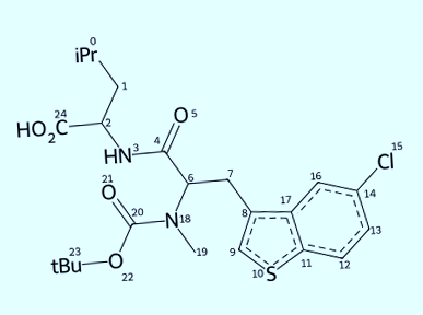 CC(C)CC(NC(=O)C(Cc1csc2ccc(Cl)cc12)N(C)C(=O)OC(C)(C)C)C(=O)O